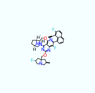 C#Cc1c(F)ccc2cccc(-c3nc4c5c(nc(OCC67CC(=C)CN6C[C@@H](F)C7)nc5c3F)N3C[C@H]5CC[C@H](N5)[C@H]3[C@H](C)O4)c12